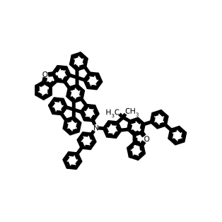 CC1(C)c2cc(N(c3ccc(-c4ccccc4)cc3)c3ccc4c(c3)C3(c5ccccc5-c5ccccc53)c3cc5c(cc3-4)C3(c4ccccc4-c4ccccc43)c3ccc4oc6ccccc6c4c3-5)ccc2-c2c1cc(-c1cccc(-c3ccccc3)c1)c1oc3ccccc3c21